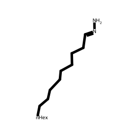 CCCCCCCCCCCCCCC=NN